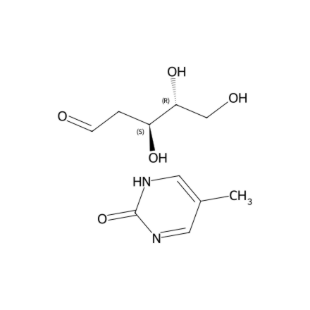 Cc1cnc(=O)[nH]c1.O=CC[C@H](O)[C@H](O)CO